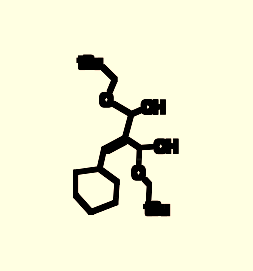 CC(C)(C)COC(O)C(=CC1CCCCC1)C(O)OCC(C)(C)C